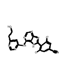 N#Cc1cc(Cl)c(-c2nc3ncnc(Nc4cc(CCO)ncn4)c3[nH]2)c(Cl)c1